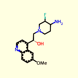 COc1ccc2nccc([C@@H](O)CN3CCC(N)C(F)C3)c2c1